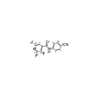 N#Cc1ccc(NC(=O)c2cc(F)nc(F)c2F)cc1